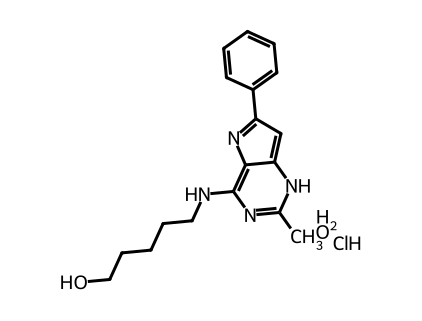 Cc1nc(NCCCCCO)c2nc(-c3ccccc3)cc-2[nH]1.Cl.O